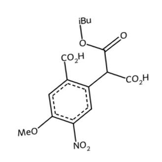 CCC(C)OC(=O)C(C(=O)O)c1cc([N+](=O)[O-])c(OC)cc1C(=O)O